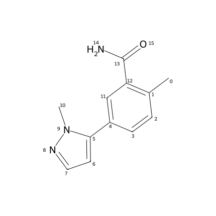 Cc1ccc(-c2ccnn2C)cc1C(N)=O